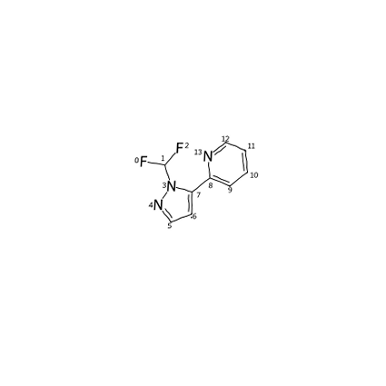 FC(F)n1nc[c]c1-c1ccccn1